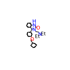 CCN(CC)CCN1C(=O)Nc2ccccc2C1c1cccc(OCc2ccccc2)c1